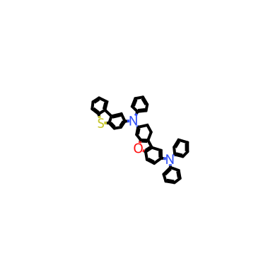 C1=C(N(c2ccccc2)c2ccc3sc4ccccc4c3c2)CCc2c1oc1ccc(N(c3ccccc3)c3ccccc3)cc21